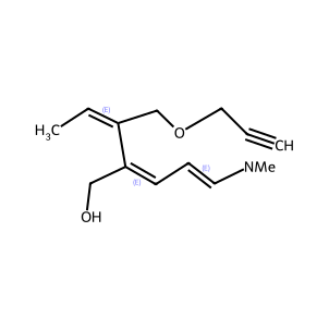 C#CCOCC(=C/C)/C(=C\C=C\NC)CO